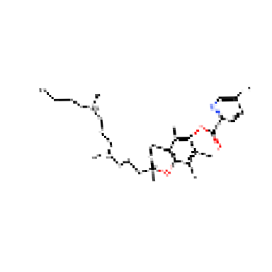 CCc1ccc(C(=O)Oc2c(C)c(C)c3c(c2C)CC[C@@](C)(CCC[C@H](C)CCC[C@H](C)CCCC(C)C)O3)nc1